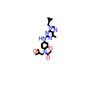 Cc1nc(Nc2ccc3c(c2)OCC(=O)N3CC2COC2)nc2c1ncn2CC1CC1